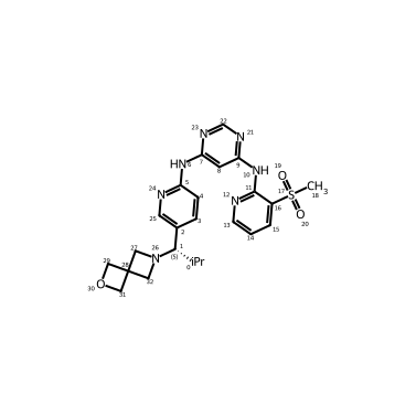 CC(C)[C@@H](c1ccc(Nc2cc(Nc3ncccc3S(C)(=O)=O)ncn2)nc1)N1CC2(COC2)C1